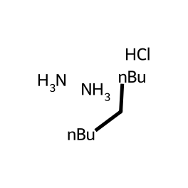 CCCCCCCCC.Cl.N.N